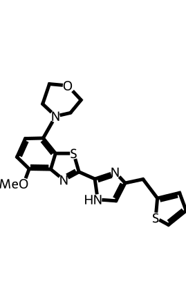 COc1ccc(N2CCOCC2)c2sc(-c3nc(Cc4cccs4)c[nH]3)nc12